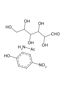 CC(N)=O.O=CC(O)C(O)C(O)C(O)CO.O=[N+]([O-])c1ccc(O)cc1